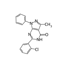 Cc1nn(-c2ccccc2)c2nc(-c3ccccc3Cl)[nH]c(=O)c12